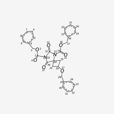 O=C(OCc1ccccc1)N1C(=O)N(C(=O)OCc2ccccc2)C2(CC(OCc3ccccc3)C2)C1=O